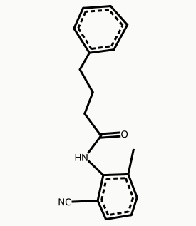 Cc1cccc(C#N)c1NC(=O)CCCc1ccccc1